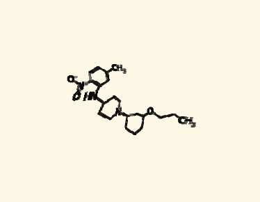 CCCOC1CCCC(N2CCC(Nc3cc(C)ccc3[N+](=O)[O-])CC2)C1